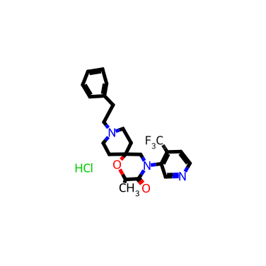 CC1OC2(CCN(CCc3ccccc3)CC2)CN(c2cnccc2C(F)(F)F)C1=O.Cl